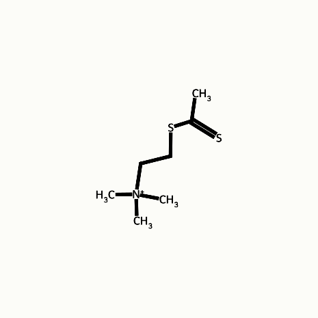 CC(=S)SCC[N+](C)(C)C